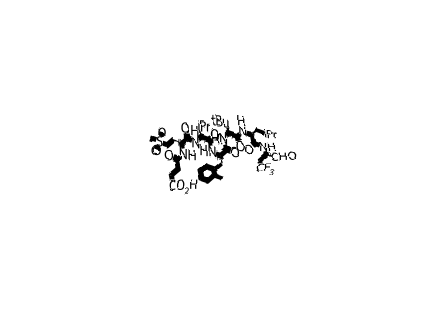 Cc1ccccc1C[C@H](NC(=O)[C@H](NC(=O)[C@@H](CCS(C)(=O)=O)NC(=O)CCC(=O)O)C(C)C)C(=O)N[C@H](C(=O)N[C@@H](CC(C)C)C(=O)N[C@H](C=O)CC(F)(F)F)C(C)(C)C